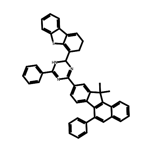 CC1(C)c2cc(C3=NC(C4=c5sc6ccccc6c5=CCC4)NC(c4ccccc4)=N3)ccc2-c2c(-c3ccccc3)cc3ccccc3c21